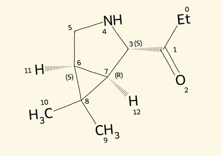 CCC(=O)[C@H]1NC[C@H]2[C@@H]1C2(C)C